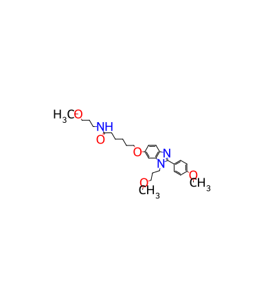 COCCCNC(=O)CCCCCOc1ccc2nc(-c3ccc(OC)cc3)n(CCCOC)c2c1